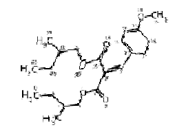 CCC(C)COC(=O)C(=CC1=CC=C(OC)CC1)C(=O)OCC(C)CC